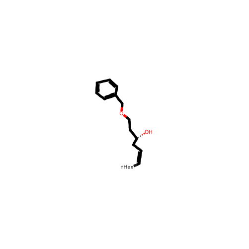 CCCCCC/C=C\C[C@@H](O)CCOCc1ccccc1